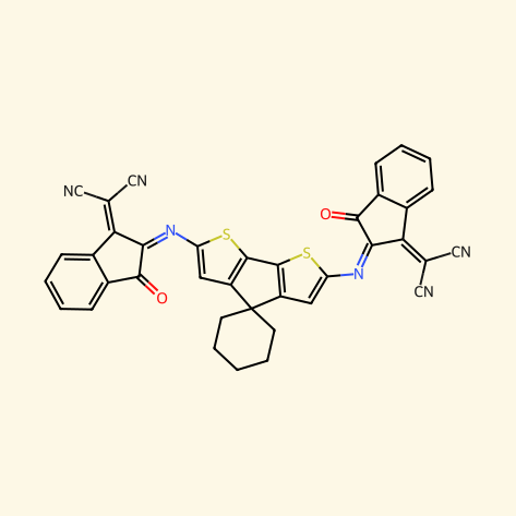 N#CC(C#N)=C1/C(=N/c2cc3c(s2)-c2sc(/N=C4\C(=O)c5ccccc5C4=C(C#N)C#N)cc2C32CCCCC2)C(=O)c2ccccc21